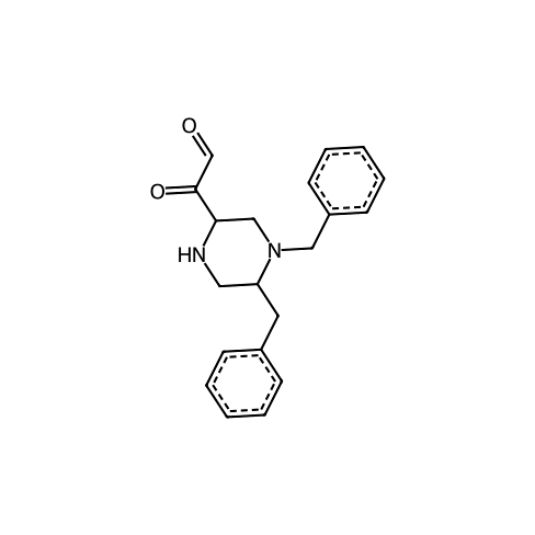 O=CC(=O)C1CN(Cc2ccccc2)C(Cc2ccccc2)CN1